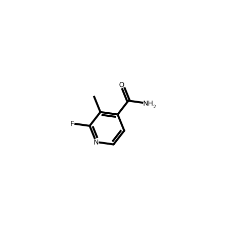 Cc1c(C(N)=O)ccnc1F